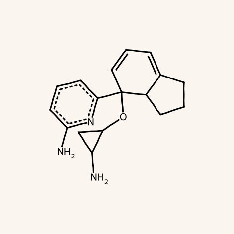 Nc1cccc(C2(OC3CC3N)C=CC=C3CCCC32)n1